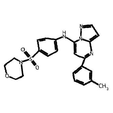 Cc1cccc(-c2cc(Nc3ccc(S(=O)(=O)N4CCOCC4)cc3)n3nccc3n2)c1